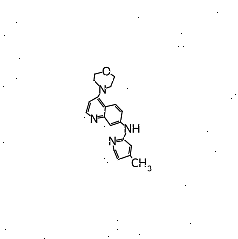 Cc1ccnc(Nc2ccc3c(N4CCOCC4)ccnc3c2)c1